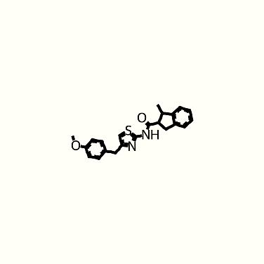 COc1ccc(Cc2csc(NC(=O)C3Cc4ccccc4C3C)n2)cc1